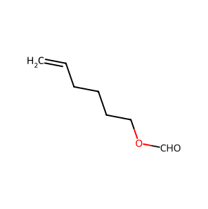 C=CCCCCOC=O